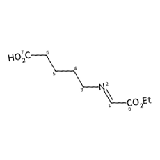 CCOC(=O)C=NCCCCC(=O)O